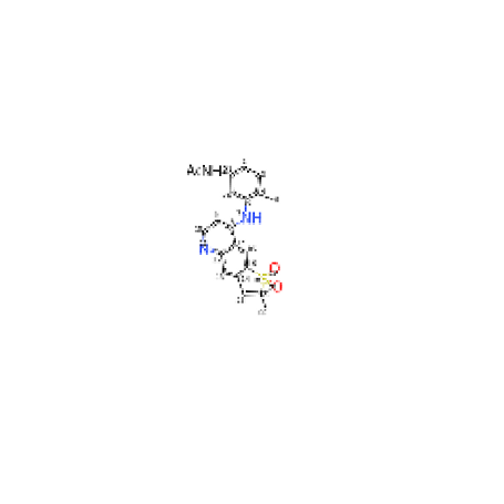 CC(=O)Nc1ccc(C)c(Nc2ccnc3cc4c(cc23)S(=O)(=O)C(C)=C4)c1